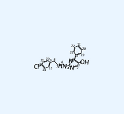 Oc1cnc(NCCCc2ccc(Cl)cc2)nc1-c1ccccc1